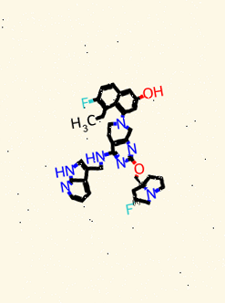 CCc1c(F)ccc2cc(O)cc(N3CCc4c(nc(OC[C@@]56CCCN5C[C@H](F)C6)nc4NCc4c[nH]c5ncccc45)C3)c12